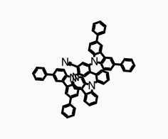 N#Cc1cc(-n2c3ccc(-c4ccccc4)cc3c3cc(-c4ccccc4)ccc32)c(-c2ccccc2-n2c3ccccc3c3ccncc32)cc1-n1c2ccc(-c3ccccc3)cc2c2cc(-c3ccccc3)ccc21